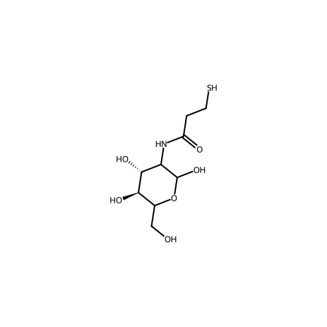 O=C(CCS)NC1C(O)OC(CO)[C@@H](O)[C@@H]1O